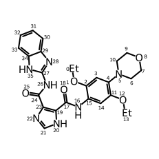 CCOc1cc(N2CCOCC2)c(OCC)cc1NC(=O)c1[nH]cnc1C(=O)Nc1nc2ccccc2[nH]1